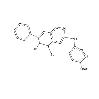 CCN1c2cc(Nc3ccc(OC)nn3)ncc2C=C(c2ccccc2)C1O